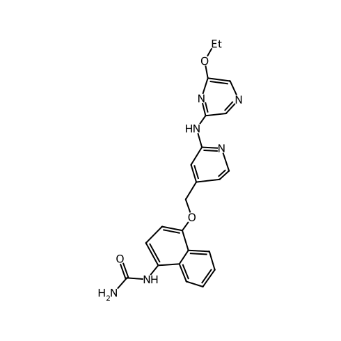 CCOc1cncc(Nc2cc(COc3ccc(NC(N)=O)c4ccccc34)ccn2)n1